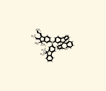 C=C/C=C1\C(=C/C)C(C)(C)c2cc(N(c3ccc4c(c3)C(C)(C)c3ccccc3-4)c3ccc4c(c3)C3(c5ccccc5Sc5ccccc53)c3ccccc3-4)ccc21